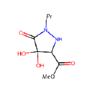 COC(=O)C1NN(C(C)C)C(=O)C1(O)O